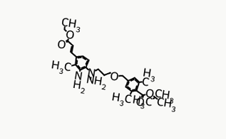 CCOC(=O)/C=C/c1ccc(N(N)CCCOCc2cc(C)c(C(=O)OC(C)(C)C)c(C)c2)c(N)c1C